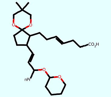 CCCC(C=CC1CCC2(OCC(C)(C)CO2)C1CCC=CCCC(=O)O)OC1CCCCO1